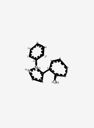 Oc1ccccc1-c1ccnn1-c1ccccc1